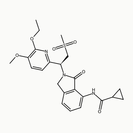 CCOc1nc([C@@H](CS(C)(=O)=O)N2Cc3cccc(NC(=O)C4CC4)c3C2=O)ccc1OC